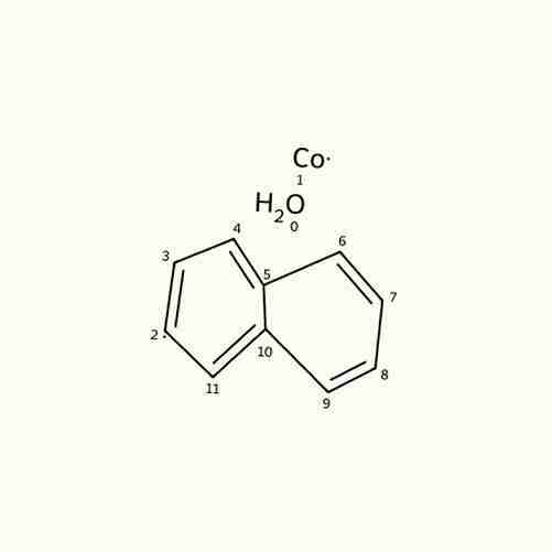 O.[Co].[c]1ccc2ccccc2c1